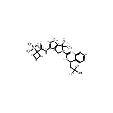 CCC(O)(CC)C[C@@H](NC(=O)N1Cc2c(NC(=O)C3([Si](C)(C)C)CCC3)n[nH]c2C1(C)C)c1ccccc1